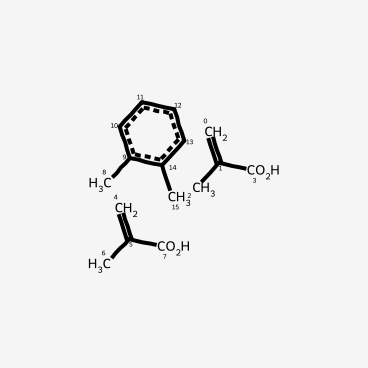 C=C(C)C(=O)O.C=C(C)C(=O)O.Cc1ccccc1C